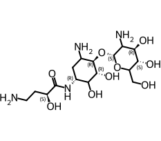 NCC[C@H](O)C(=O)N[C@@H]1CC(N)[C@@H](O[C@H]2OC(CO)[C@@H](O)[C@H](O)C2N)[C@H](O)C1O